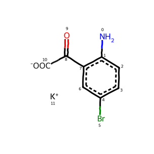 Nc1ccc(Br)cc1C(=O)C(=O)[O-].[K+]